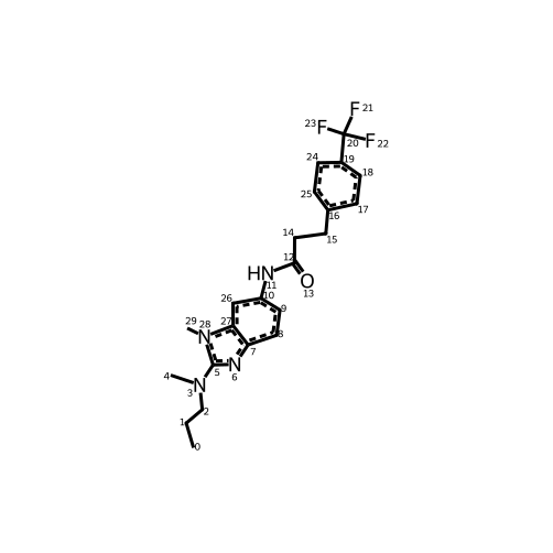 CCCN(C)c1nc2ccc(NC(=O)CCc3ccc(C(F)(F)F)cc3)cc2n1C